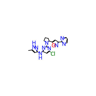 Cc1cc(Nc2cc(Cl)nc(N3CCCC3c3cc(-c4ncccn4)no3)n2)n[nH]1